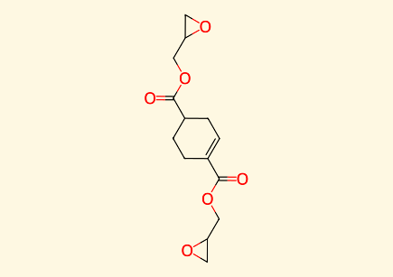 O=C(OCC1CO1)C1=CCC(C(=O)OCC2CO2)CC1